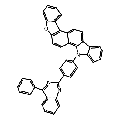 c1ccc(-c2nc(-c3ccc(-n4c5ccccc5c5ccc6c(ccc7oc8ccccc8c76)c54)cc3)nc3ccccc23)cc1